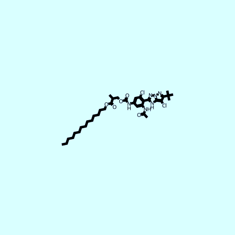 CCCCCCCCCCCCCCOC(=O)C(C)COC(=O)Nc1cc(Cl)c(-c2nn3nc(C(C)(C)C)c(Cl)c3[nH]2)c(NC(C)=O)c1